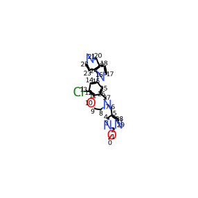 COc1ncc(CN2CCOc3c(Cl)cc(-n4ccc5cnccc54)cc3C2)cn1